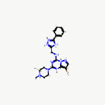 C[C@@H]1CN(c2nc(NCc3nnc(-c4ccccc4)[nH]3)n3ncc(Br)c3n2)CCN1C